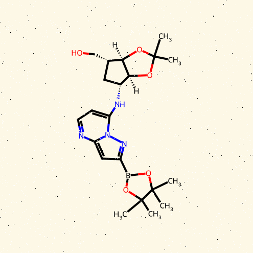 CC1(C)O[C@@H]2[C@@H](CO)C[C@@H](Nc3ccnc4cc(B5OC(C)(C)C(C)(C)O5)nn34)[C@@H]2O1